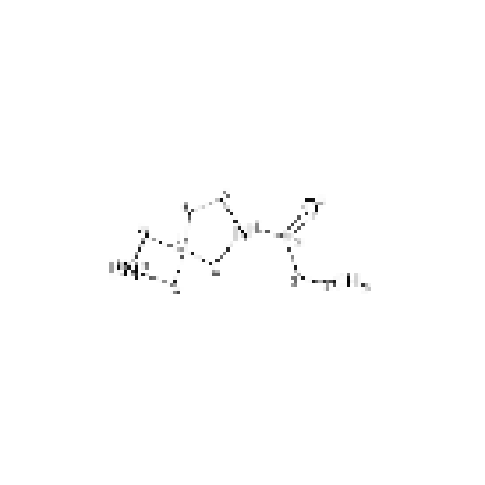 CCC(=O)N1CCC2(CNC2)C1